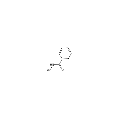 CC(C)NC(=O)C1C=CC=CC1